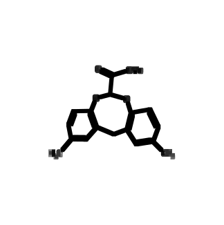 COC(=O)C1Oc2ccc(C)cc2Cc2cc(C)ccc2O1